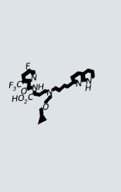 O=C(NC(CCN(CCCCc1ccc2c(n1)NCCC2)CCOCC1CC1)C(=O)O)c1ncc(F)cc1C(F)(F)F